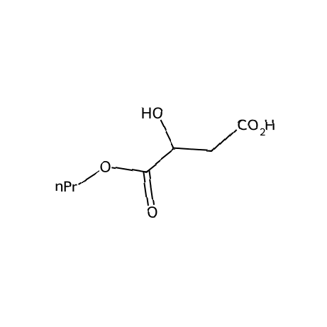 CCCOC(=O)C(O)CC(=O)O